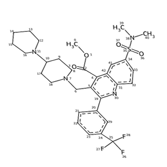 COC(=O)c1c(CN2CCC(N3CCCCC3)CC2)c(-c2cccc(C(F)(F)F)c2)nc2ccc(S(=O)(=O)N(C)C)cc12